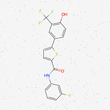 O=C(Nc1cccc(F)c1)c1ccc(-c2ccc(O)c(C(F)(F)F)c2)s1